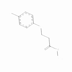 NNC(=O)CCNc1ccc(Cl)cc1